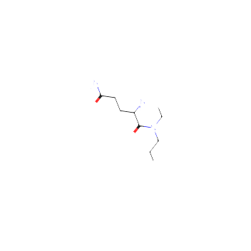 CCCN(CC)C(=O)C(N)CCC(N)=O